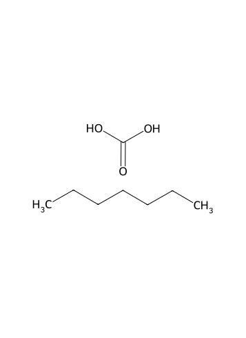 CCCCCCC.O=C(O)O